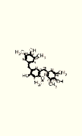 COc1cc(O)c(Cc2cc(C)c(O)c(C)c2)cc1Cc1cc(C)c(O)c(C)c1